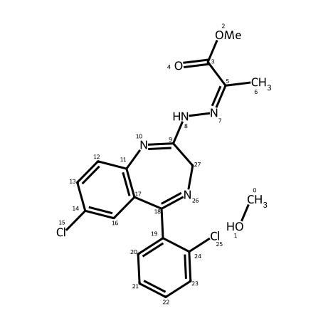 CO.COC(=O)C(C)=NNC1=Nc2ccc(Cl)cc2C(c2ccccc2Cl)=NC1